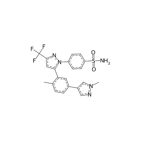 Cc1ccc(-c2cnn(C)c2)cc1-c1cc(C(F)(F)F)nn1-c1ccc(S(N)(=O)=O)cc1